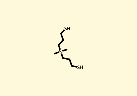 C[Si](C)(CCCS)CCCS